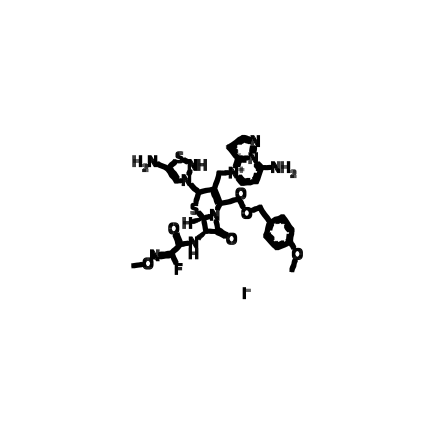 CON=C(F)C(=O)N[C@@H]1C(=O)N2C(C(=O)OCc3ccc(OC)cc3)=C(C[n+]3ccc(N)n4nccc43)C(N3C=C(N)SN3)S[C@@H]12.[I-]